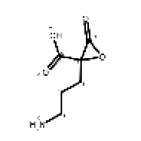 NCCCC1(C(=O)O)OC1=O